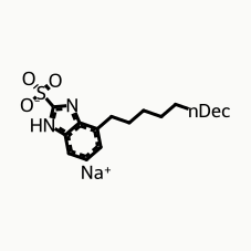 CCCCCCCCCCCCCCCc1cccc2[nH]c(S(=O)(=O)[O-])nc12.[Na+]